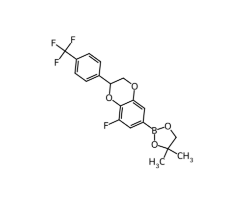 CC1(C)COB(c2cc(F)c3c(c2)OCC(c2ccc(C(F)(F)F)cc2)O3)O1